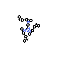 CC1(C)c2ccccc2-c2cc(-c3ccc4c5ccccc5n(-c5ccc(-c6cc(-n7c8ccccc8c8ccc(-c9ccc%10c(c9)-c9ccccc9C%10(C)C)cc87)nc(-n7c8ccccc8c8ccc(-c9ccc%10c(c9)-c9ccccc9C%10(C)C)cc87)n6)cc5)c4c3)ccc21